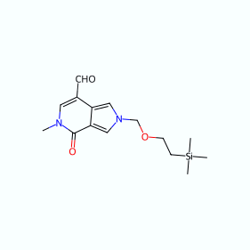 Cn1cc(C=O)c2cn(COCC[Si](C)(C)C)cc2c1=O